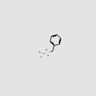 CCN(Cl)S(=O)(=O)Cc1ccccc1